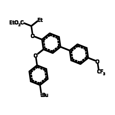 CCOC(=O)C(CC)Oc1ccc(-c2ccc(OC(F)(F)F)cc2)cc1Oc1ccc(C(C)(C)C)cc1